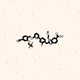 COCCn1c(Cc2ccc(-c3cccc(OCc4ccc(C#N)cc4OCC(F)(F)F)n3)cc2F)nc2ccc(C(=O)O)cc21